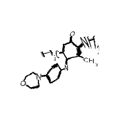 CC1=CC(=O)C(N)=C(C)C1=Nc1ccc(N2CCOCC2)cc1